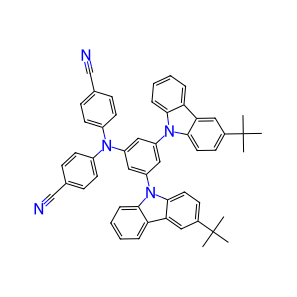 CC(C)(C)c1ccc2c(c1)c1ccccc1n2-c1cc(N(c2ccc(C#N)cc2)c2ccc(C#N)cc2)cc(-n2c3ccccc3c3cc(C(C)(C)C)ccc32)c1